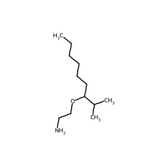 CCCCCCC(OCCN)C(C)C